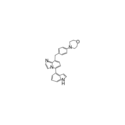 c1cc(-c2ccc(Cc3ccc(N4CCOCC4)cc3)c3nccn23)c2cc[nH]c2c1